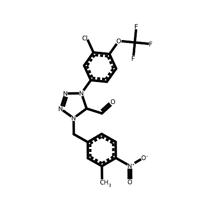 Cc1cc(CN2N=NN(c3ccc(OC(F)(F)F)c(Cl)c3)C2C=O)ccc1[N+](=O)[O-]